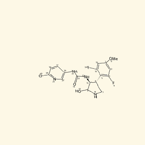 COc1cc(F)c([C@@H]2CNC(O)[C@H]2NC(=O)Nc2ccc(Cl)nc2)c(F)c1